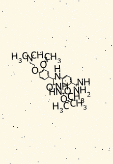 CCOc1cc(C(Nc2ccc(C(=N)N)cc2)C(=O)NNC(=O)OC(C)(C)C)ccc1OCCN(C)C